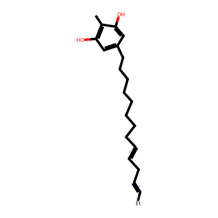 CC/C=C/C/C=C/CCCCCCCCc1cc(O)c(C)c(O)c1